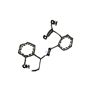 CCC(/N=N/c1ccccc1C(=O)O)c1ccccc1O